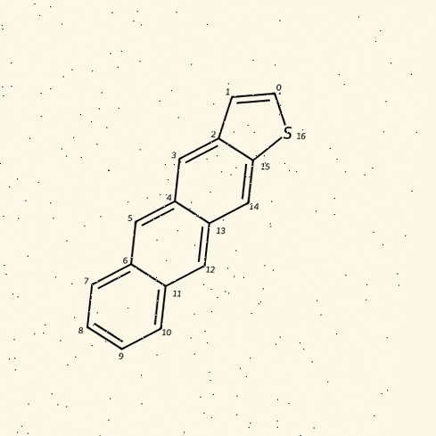 [c]1cc2cc3cc4ccccc4cc3cc2s1